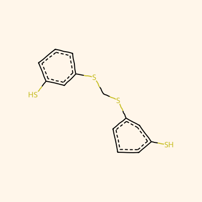 Sc1cccc(SCSc2cccc(S)c2)c1